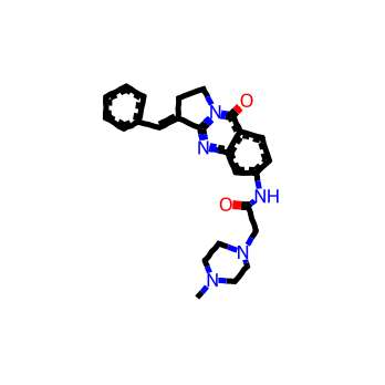 CN1CCN(CC(=O)Nc2ccc3c(=O)n4c(nc3c2)C(=Cc2ccccc2)CC4)CC1